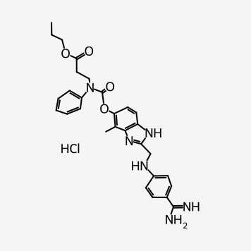 CCCOC(=O)CCN(C(=O)Oc1ccc2[nH]c(CNc3ccc(C(=N)N)cc3)nc2c1C)c1ccccc1.Cl